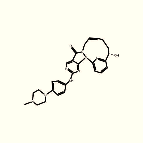 CN1CCN(c2ccc(Nc3ncc4c(=O)n5n(c4n3)-c3cccc(n3)[C@@H](O)CC/C=C\C5)cc2)CC1